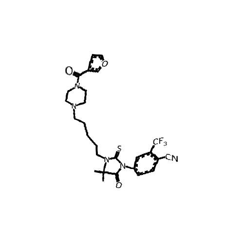 CC1(C)C(=O)N(c2ccc(C#N)c(C(F)(F)F)c2)C(=S)N1CCCCCN1CCN(C(=O)c2ccoc2)CC1